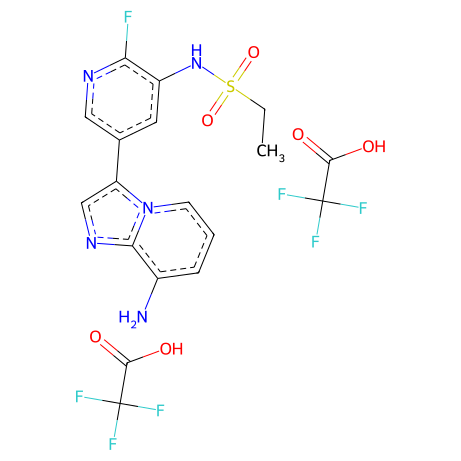 CCS(=O)(=O)Nc1cc(-c2cnc3c(N)cccn23)cnc1F.O=C(O)C(F)(F)F.O=C(O)C(F)(F)F